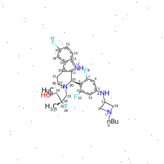 CCCCN1CC(Nc2cc(F)c([C@@H]3c4[nH]c5ccc(F)cc5c4C[C@@H](C)N3C[C@](C)(F)CO)c(F)c2)C1